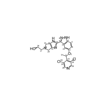 CC(Oc1ccc2[nH]nc(-c3nc4c([nH]3)CN(CCO)C4)c2c1)c1c(Cl)cncc1Cl